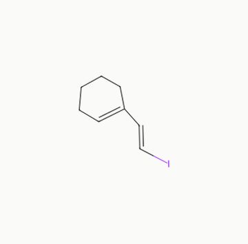 I/C=C/C1=CCCCC1